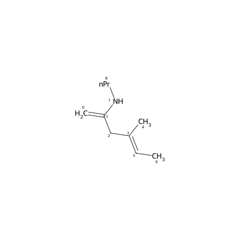 C=C(C/C(C)=C/C)NCCC